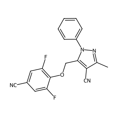 Cc1nn(-c2ccccc2)c(COc2c(F)cc(C#N)cc2F)c1C#N